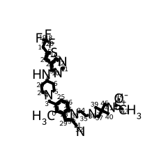 Cc1c(CN2CCC(Nc3ncnc4sc(CC(F)(F)F)cc34)CC2)ccc2c1cc(C#N)n2CCN1CC2(C1)CN([S+](C)[O-])C2